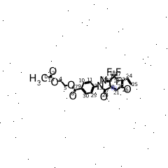 CC(=O)OCCOC(=O)c1ccc(N2N=C(C(F)(F)F)/C(=C\c3ccco3)C2=O)cc1